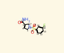 NC(=O)C1=CCN(S(=O)(=O)c2cccc(F)c2)C1